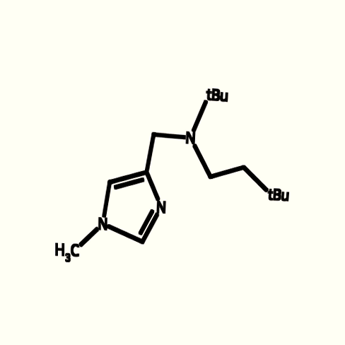 Cn1cnc(CN(CCC(C)(C)C)C(C)(C)C)c1